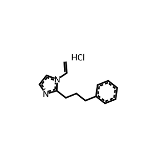 C=Cn1ccnc1CCCc1ccccc1.Cl